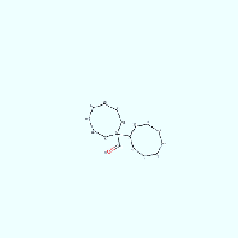 O=CC1(C2CCCCCCC2)CCCCCCC1